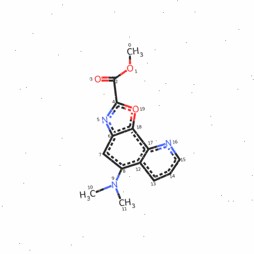 COC(=O)c1nc2cc(N(C)C)c3cccnc3c2o1